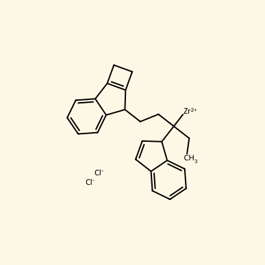 CC[C]([Zr+2])(CCC1C2=C(CC2)c2ccccc21)C1C=Cc2ccccc21.[Cl-].[Cl-]